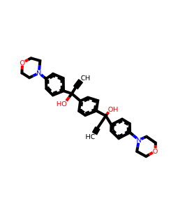 C#CC(O)(c1ccc(N2CCOCC2)cc1)c1ccc(C(O)(C#C)c2ccc(N3CCOCC3)cc2)cc1